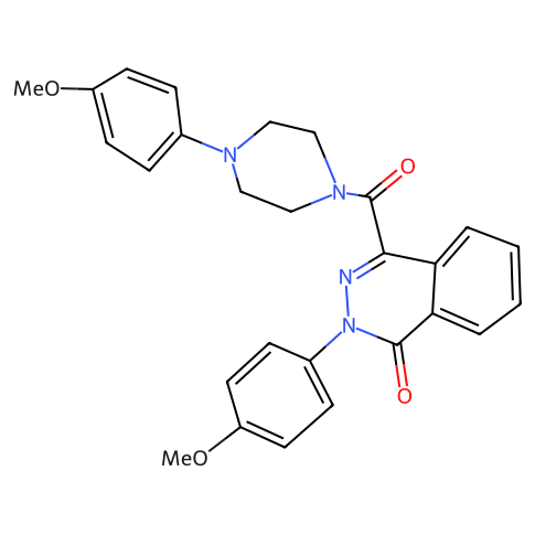 COc1ccc(N2CCN(C(=O)c3nn(-c4ccc(OC)cc4)c(=O)c4ccccc34)CC2)cc1